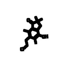 Cc1c(O)c2c(c(C)c1CCCl)C(=O)C(C)(C)C2